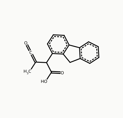 CC(=C=O)C(C(=O)O)c1cccc2c1Cc1ccccc1-2